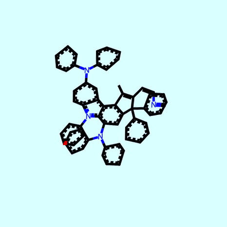 C=N/C=C\C1=C(C)c2c(cc(N(c3ccccc3)c3ccccc3)c3c2c2cc(N(c4ccccc4)c4ccccc4)ccc2n3-c2ccccc2)C1(c1ccccc1)c1ccccc1